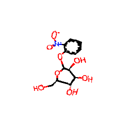 O=[N+]([O-])c1ccccc1OC1O[C@H](CO)[C@@H](O)[C@H](O)[C@@H]1O